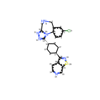 Clc1ccc2c(c1)CNCc1nnc([C@H]3CC[C@H](c4nsc5cnccc54)CC3)n1-2